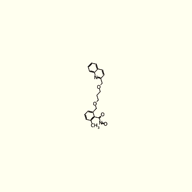 Cc1cccc(COCCCOCc2ccc3ccccc3n2)c1C(=O)N=O